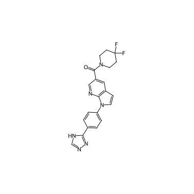 O=C(c1cnc2c(ccn2-c2ccc(-c3nnc[nH]3)cc2)c1)N1CCC(F)(F)CC1